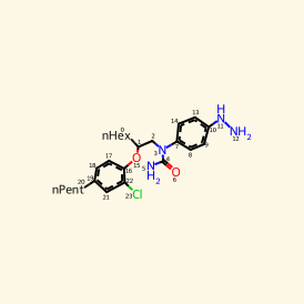 CCCCCCC(CN(C(N)=O)c1ccc(NN)cc1)Oc1ccc(CCCCC)cc1Cl